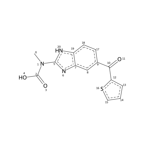 CN(C(=O)O)c1nc2cc(C(=O)c3cccs3)ccc2[nH]1